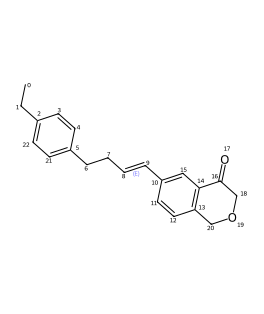 CCc1ccc(CC/C=C/c2ccc3c(c2)C(=O)COC3)cc1